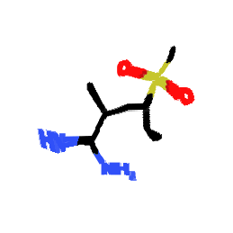 C[C@H](C(=N)N)[C@H](C)S(C)(=O)=O